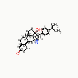 C=C(C)c1ccc([C@H](C#N)[C@@]2(O)CC[C@H]3[C@@H]4CCC5=CC(=O)CCC5=C4CC[C@@]32C)cc1